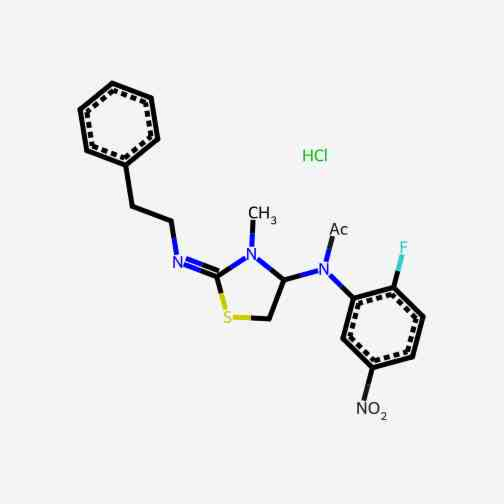 CC(=O)N(c1cc([N+](=O)[O-])ccc1F)C1CSC(=NCCc2ccccc2)N1C.Cl